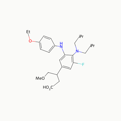 CCOc1ccc(Nc2cc(C(COC)CC(=O)O)cc(F)c2N(CC(C)C)CC(C)C)cc1